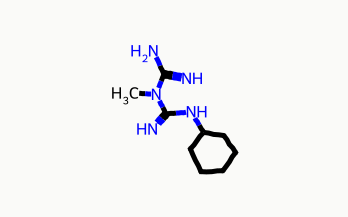 CN(C(=N)N)C(=N)NC1CCCCC1